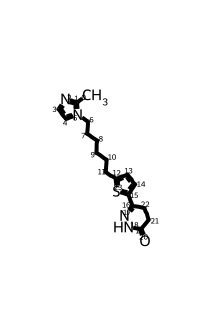 Cc1nccn1CCCCCCc1ccc(C2=NNC(=O)CC2)s1